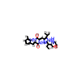 CCC(c1nc(/C=c2\[nH]c(=O)/c(=C/c3cccc(C)c3)[nH]c2=O)c(C(C)C)[nH]1)C1COCCN1